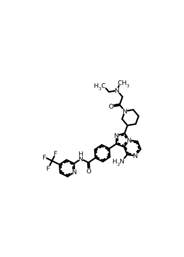 CCN(C)CC(=O)N1CCCC(c2nc(-c3ccc(C(=O)Nc4cc(C(F)(F)F)ccn4)cc3)c3c(N)nccn23)C1